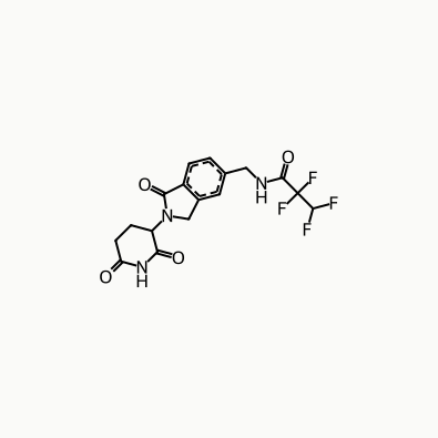 O=C1CCC(N2Cc3cc(CNC(=O)C(F)(F)C(F)F)ccc3C2=O)C(=O)N1